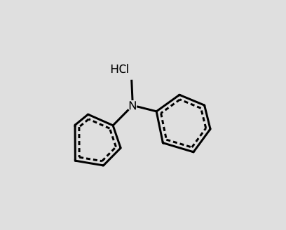 CN(c1ccccc1)c1ccccc1.Cl